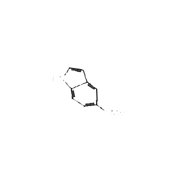 CSc1ccc2[nH]ccc2c1